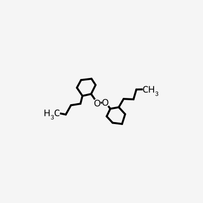 CCCCC1CCCCC1OOC1CCCCC1CCCC